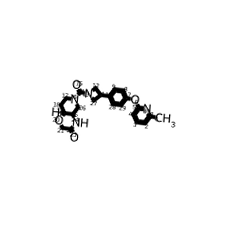 Cc1cccc(Oc2ccc(C3CN(C(=O)N4CC[C@@H]5OCC(=O)NC5C4)C3)cc2)n1